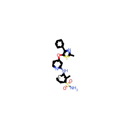 Cc1nc(-c2ccccc2)c(Oc2ccnc(Nc3cccc(S(N)(=O)=O)c3C)c2)s1